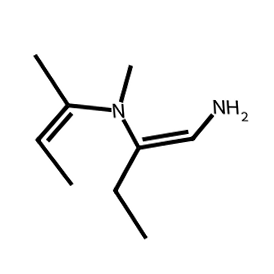 C/C=C(/C)N(C)/C(=C\N)CC